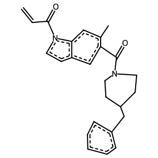 C=CC(=O)n1ccc2cc(C(=O)N3CCC(Cc4ccccc4)CC3)c(C)cc21